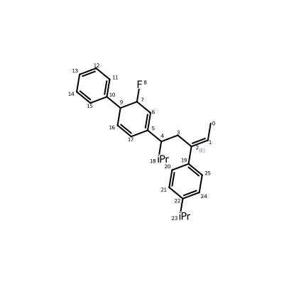 C/C=C(\CC(C1=CC(F)C(c2ccccc2)C=C1)C(C)C)c1ccc(C(C)C)cc1